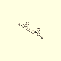 N#Cc1ccc2c(c1)c1ccccc1n2-c1ccc(Cc2ccc(-n3c4ccccc4c4cc(C#N)ccc43)cc2)cc1